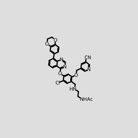 CC(=O)NCCNCc1cc(Cl)c(Oc2ncnc3c(-c4ccc5c(c4)OCCO5)cccc23)cc1OCc1cncc(C#N)c1